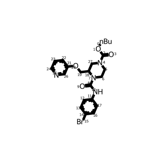 CCCCOC(=O)N1CCN(C(=O)Nc2ccc(Br)cc2)C(COc2cccnc2)C1